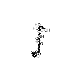 O=C(CCCCC(=O)ON1C(=O)CCC1=O)NCC(=O)NCCO[C@H]1O[C@H](CO)C[C@H](O)[C@@H]1O